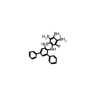 Bc1c(B)c(B)c(Nc2c(F)cc(-c3ccccc3)cc2-c2ccccc2)c(F)c1B